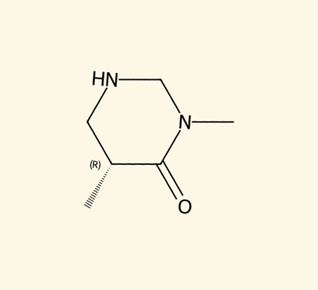 C[C@@H]1CNCN(C)C1=O